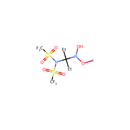 CCC(CC)(N(O)OI)N(S(=O)(=O)C(F)(F)F)S(=O)(=O)C(F)(F)F